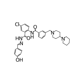 O=C(Nc1ccc(Cl)cc1C(=O)N/N=C/c1ccc(O)cc1)c1cccc(CN2CCC(N3CCCCC3)CC2)c1